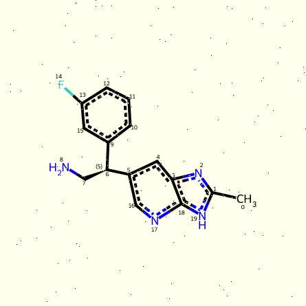 Cc1nc2cc([C@@H](CN)c3cccc(F)c3)cnc2[nH]1